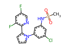 CS(=O)(=O)Nc1cc(Cl)cc(-n2cccc2-c2ncc(F)cc2F)c1